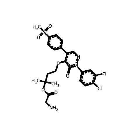 CC(C)(CCOc1c(-c2ccc(S(C)(=O)=O)cc2)cnn(-c2ccc(Cl)c(Cl)c2)c1=O)OC(=O)CN